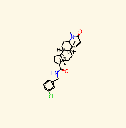 CN1C(=O)C=C[C@@]2(C)C1CC[C@@H]1[C@H]2CC[C@]2(C)C(C(=O)NCc3cccc(Cl)c3)CC[C@@H]12